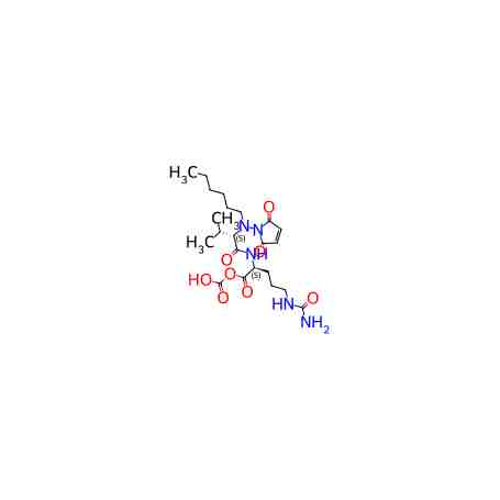 CCCCCCN([C@H](C(=O)N[C@@H](CCCNC(N)=O)C(=O)OC(=O)O)C(C)C)N1C(=O)C=CC1=O